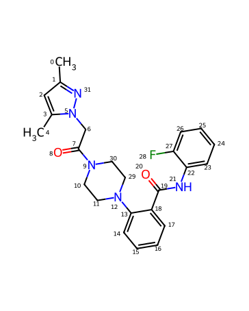 Cc1cc(C)n(CC(=O)N2CCN(c3ccccc3C(=O)Nc3ccccc3F)CC2)n1